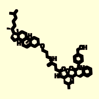 C=C(CCC(=O)N[C@@H](CC(C)C)C(=O)N[C@@H](Cc1ccccc1)C(=O)Nc1ccc(CO)cc1)NCCCO[C@H]1CC[C@@]2(C)C(=CC[C@H]3C4CC[C@H]([C@H](C)CCCC(C)C)[C@@]4(C)CC[C@@H]32)C1